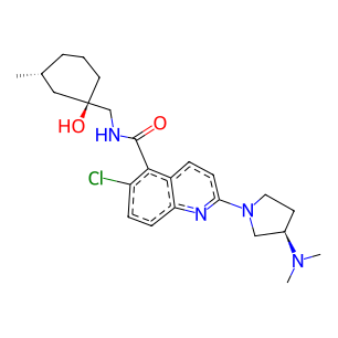 C[C@@H]1CCC[C@](O)(CNC(=O)c2c(Cl)ccc3nc(N4CC[C@@H](N(C)C)C4)ccc23)C1